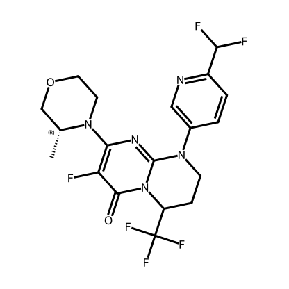 C[C@@H]1COCCN1c1nc2n(c(=O)c1F)C(C(F)(F)F)CCN2c1ccc(C(F)F)nc1